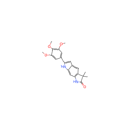 COc1cc(-c2cc3cc4c(cc3[nH]2)NC(=O)C4(C)C)cc(OC)c1OC